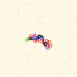 C[C@H](Cc1ccc2[nH]c(C(=O)NCc3cc(O)cc(C(F)(F)F)c3)cc2c1)NC[C@H](O)c1ccc(O)c(NS(C)(=O)=O)c1